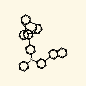 c1ccc(N(c2ccc(-c3ccc4c(c3)-c3c5cccc3-c3cccc-4c3-c3ccccc3-5)cc2)c2cccc(-c3ccc4ccccc4c3)c2)cc1